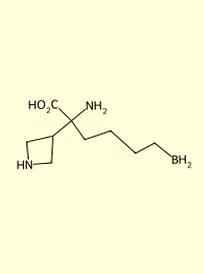 BCCCCC(N)(C(=O)O)C1CNC1